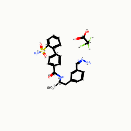 CCOC(=O)[C@H](Cc1cccc(/C=N\N)c1)NC(=O)c1ccc(-c2ccccc2S(N)(=O)=O)cc1.O=C(O)C(F)(F)F